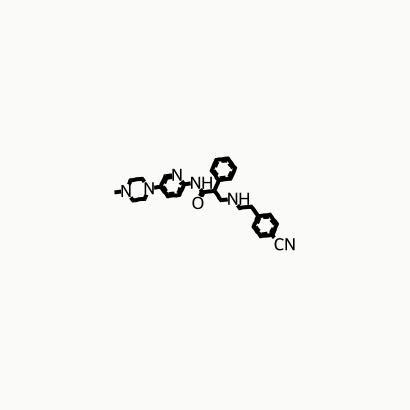 CN1CCN(c2ccc(NC(=O)C(CNCCc3ccc(C#N)cc3)c3ccccc3)nc2)CC1